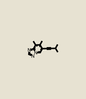 Cc1c(C#CC(C)C)cn2ncnc2c1C